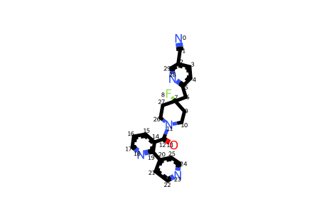 N#Cc1ccc(CC2(F)CCN(C(=O)c3cccnc3-c3ccncc3)CC2)nc1